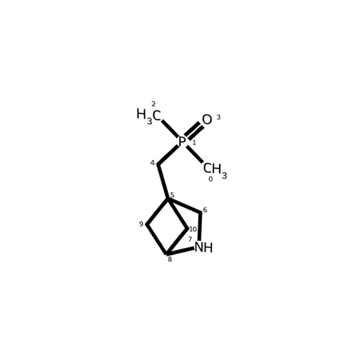 CP(C)(=O)CC12CNC(C1)C2